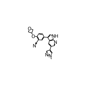 Cn1cc(-c2cnc3[nH]cc(-c4ccc(OC5COC5)c(C#N)c4)c3c2)cn1